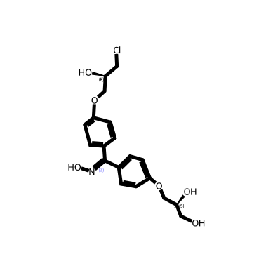 OC[C@H](O)COc1ccc(/C(=N/O)c2ccc(OC[C@@H](O)CCl)cc2)cc1